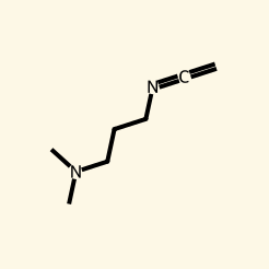 C=C=NCCCN(C)C